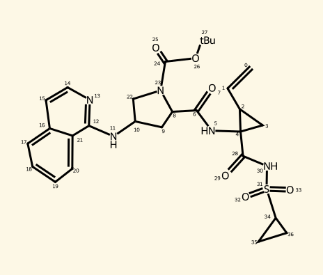 C=CC1CC1(NC(=O)C1CC(Nc2nccc3ccccc23)CN1C(=O)OC(C)(C)C)C(=O)NS(=O)(=O)C1CC1